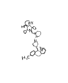 Cc1ccc2c(c1)CCc1cccnc1C2=C1CCN(C[C@H]2CCCC[C@@H]2CN2C(=O)C3C(C2=O)[C@H]2CC[C@@H]3C2)CC1